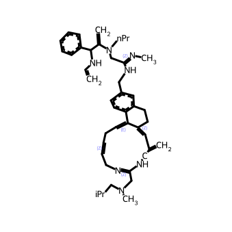 C=CNC(C(=C)N(CCC)C/C(=N/C)NCc1ccc2c(c1)CCC1=C/C(=C)CN/C(CN(C)CC(C)C)=N\C/C=C\C/C=C\12)c1ccccc1